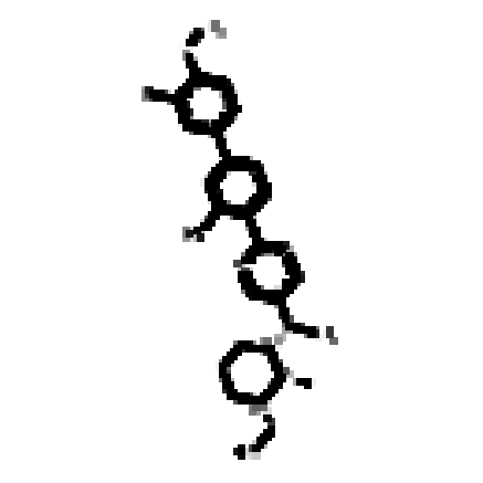 CC[C@@H]1CCC[C@H](N(C)c2cnc(-c3ccc(-c4cnc(SC)c(F)c4)cc3O)nn2)[C@@H]1F